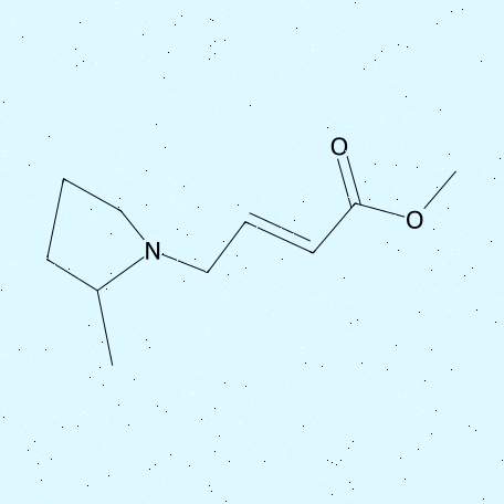 COC(=O)/C=C/CN1CCCC1C